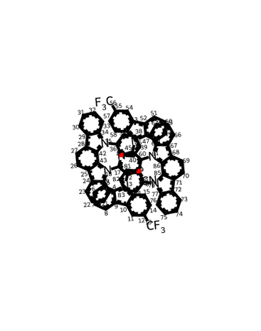 N#Cc1c(-n2c3ccccc3c3cc(C(F)(F)F)ccc32)c(-n2c3ccccc3c3ccc4c5ccccc5n(-c5ccccc5)c4c32)nc(-n2c3ccccc3c3cc(C(F)(F)F)ccc32)c1-n1c2ccccc2c2ccc3c4ccccc4n(-c4ccccc4)c3c21